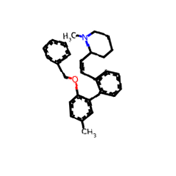 Cc1ccc(OCc2ccccc2)c(-c2ccccc2C=CC2CCCCN2C)c1